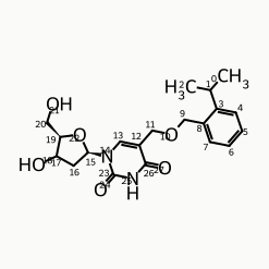 CC(C)c1ccccc1COCc1cn([C@H]2CC(O)[C@@H](CO)O2)c(=O)[nH]c1=O